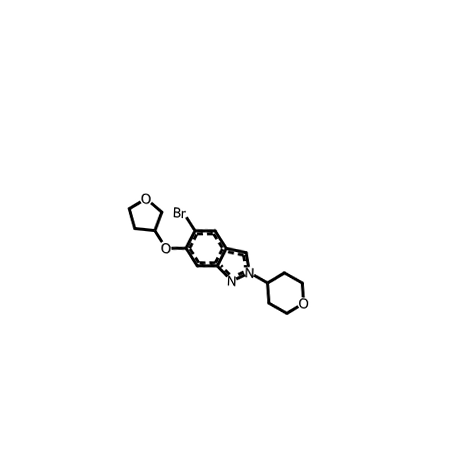 Brc1cc2cn(C3CCOCC3)nc2cc1OC1CCOC1